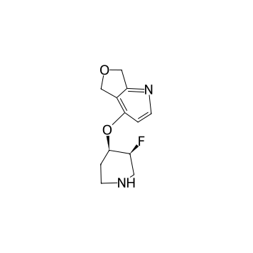 F[C@H]1CNCC[C@H]1Oc1ccnc2c1COC2